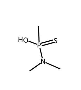 CN(C)P(C)(O)=S